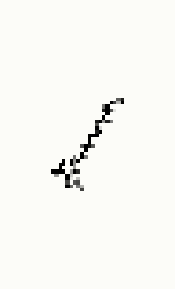 C=C(CCCOCCOCCN=C=O)C(=O)O